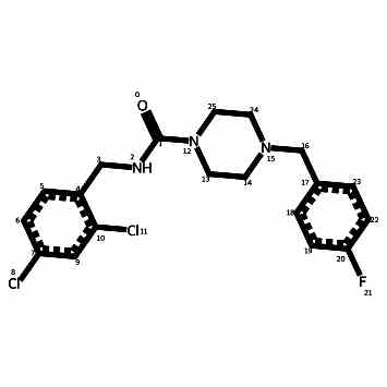 O=C(NCc1ccc(Cl)cc1Cl)N1CCN(Cc2ccc(F)cc2)CC1